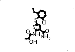 CCc1cccc(Cl)c1Sc1cc(C(N)=O)c(NC(=O)C(C)O)s1